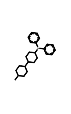 CC1CCC(C2CCC(N(c3ccccc3)c3ccccc3)CC2)CC1